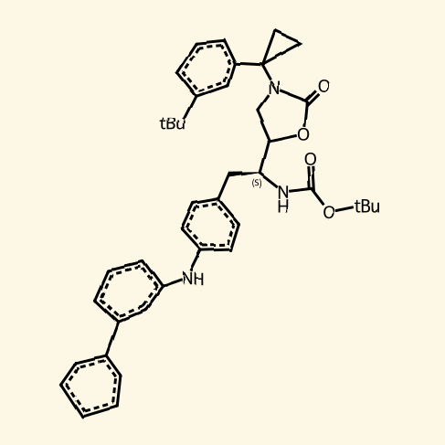 CC(C)(C)OC(=O)N[C@@H](Cc1ccc(Nc2cccc(-c3ccccc3)c2)cc1)C1CN(C2(c3cccc(C(C)(C)C)c3)CC2)C(=O)O1